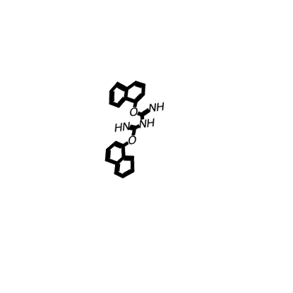 N=C(NC(=N)Oc1cccc2ccccc12)Oc1cccc2ccccc12